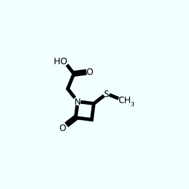 CSC1CC(=O)N1CC(=O)O